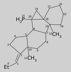 CC/C=C1\CCC2C3C(CCC12C)C1(C)CCCCC12CC32P